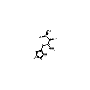 C#S(=O)C(=O)[C@@H](N)Cc1cnc[nH]1